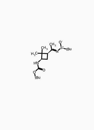 C/C(=N\[S@@+]([O-])C(C)(C)C)[C@H]1C[C@@H](NC(=O)OC(C)(C)C)C1(C)C